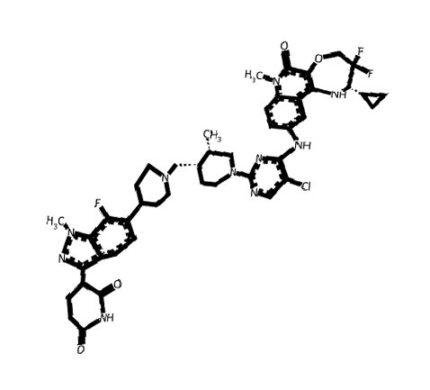 C[C@@H]1CN(c2ncc(Cl)c(Nc3ccc4c(c3)c3c(c(=O)n4C)OCC(F)(F)[C@H](C4CC4)N3)n2)CC[C@@H]1CN1CCC(c2ccc3c(C4CCC(=O)NC4=O)nn(C)c3c2F)CC1